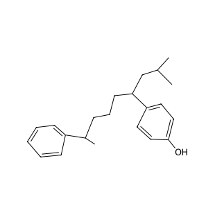 CC(C)CC(CCCC(C)c1ccccc1)c1ccc(O)cc1